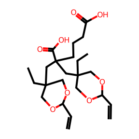 C=CC1OCC(CC)(CC(CCCC(=O)O)(CC2(CC)COC(C=C)OC2)C(=O)O)CO1